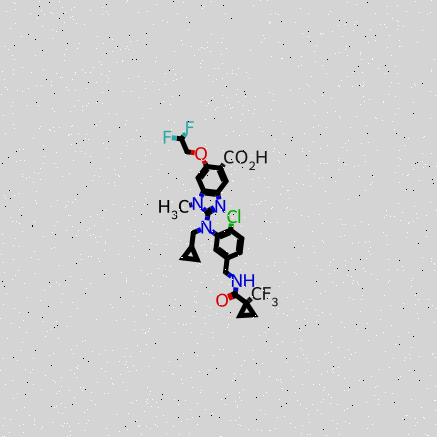 Cn1c(N(CC2CC2)c2cc(CNC(=O)C3(C(F)(F)F)CC3)ccc2Cl)nc2cc(C(=O)O)c(OCC(F)F)cc21